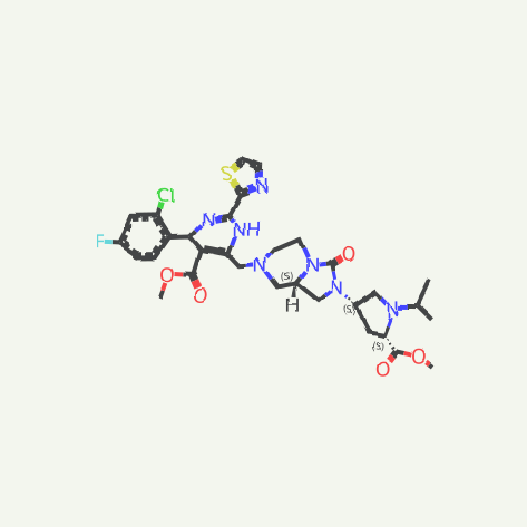 COC(=O)C1=C(CN2CCN3C(=O)N([C@H]4C[C@@H](C(=O)OC)N(C(C)C)C4)C[C@@H]3C2)NC(c2nccs2)=NC1c1ccc(F)cc1Cl